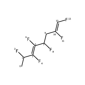 CC(F)C(F)=C(F)C(F)CC(F)=CF